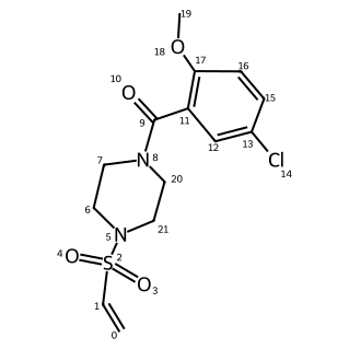 C=CS(=O)(=O)N1CCN(C(=O)c2cc(Cl)ccc2OC)CC1